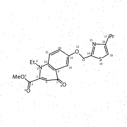 CCn1c(C(=O)OC)cc(=O)c2cc(OCc3nc(C(C)C)cs3)ccc21